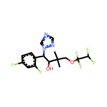 CC(C)(COC(F)(F)C(F)F)C(O)C(c1ccc(F)cc1F)n1cncn1